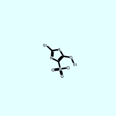 CCOc1sc(CC)nc1S(=O)(=O)Cl